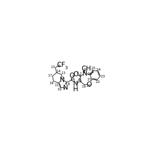 CN1C(=O)[C@@H](NC(=O)c2ncc3n2CC(CC(F)(F)F)CC3)COc2ccccc21